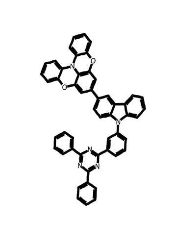 c1ccc(-c2nc(-c3ccccc3)nc(-c3cccc(-n4c5ccccc5c5cc(-c6cc7c8c(c6)Oc6ccccc6N8c6ccccc6O7)ccc54)c3)n2)cc1